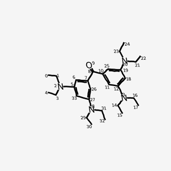 CCN(CC)c1cc(C(=O)c2cc(N(CC)CC)cc(N(CC)CC)c2)cc(N(CC)CC)c1